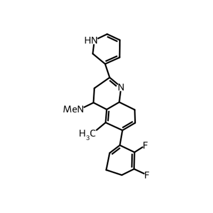 CNC1CC(C2=CC=CNC2)=NC2CC=C(C3=CCCC(F)=C3F)C(C)=C21